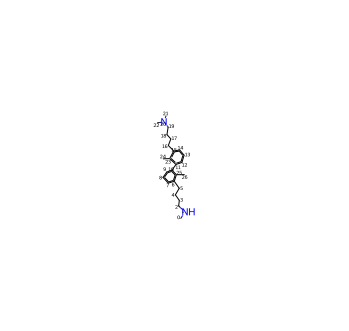 CNCCCCc1cccc(-c2cccc(CCCCN(C)C)c2C)c1C